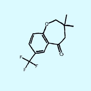 CC1(C)COc2ccc(C(F)(F)F)cc2C(=O)C1